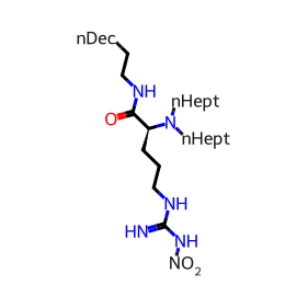 CCCCCCCCCCCCNC(=O)[C@H](CCCNC(=N)N[N+](=O)[O-])N(CCCCCCC)CCCCCCC